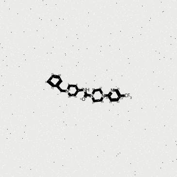 O=C(NC1CCN(Cc2ccccc2)CC1)N1CCN(c2ccc(C(F)(F)F)cn2)CC1